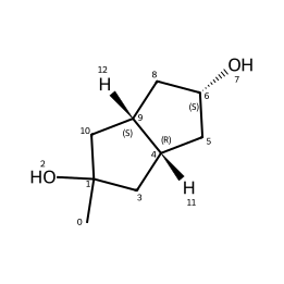 CC1(O)C[C@H]2C[C@@H](O)C[C@H]2C1